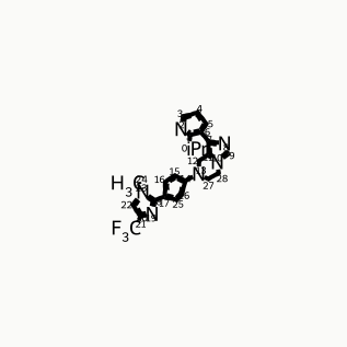 CC(C)c1ncccc1-c1ncn2c1CN(c1ccc(-c3nc(C(F)(F)F)cn3C)cc1)CC2